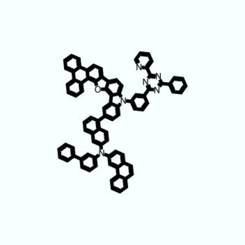 c1ccc(-c2cccc(N(c3ccc4c(-c5ccc6c(c5)c5c7oc8c(ccc9c%10ccccc%10c%10ccccc%10c98)c7ccc5n6-c5cccc(-c6nc(-c7ccccc7)nc(-c7ccccn7)n6)c5)cccc4c3)c3ccc4ccc5ccccc5c4c3)c2)cc1